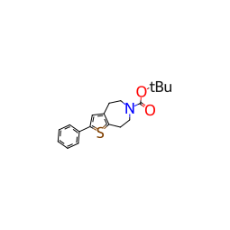 CC(C)(C)OC(=O)N1CCc2cc(-c3ccccc3)sc2CC1